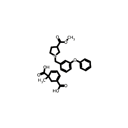 CC1(C(=O)O)C=CC=C(C(=O)O)C1.COC(=O)C1CCN(Cc2cccc(Oc3ccccc3)c2)C1